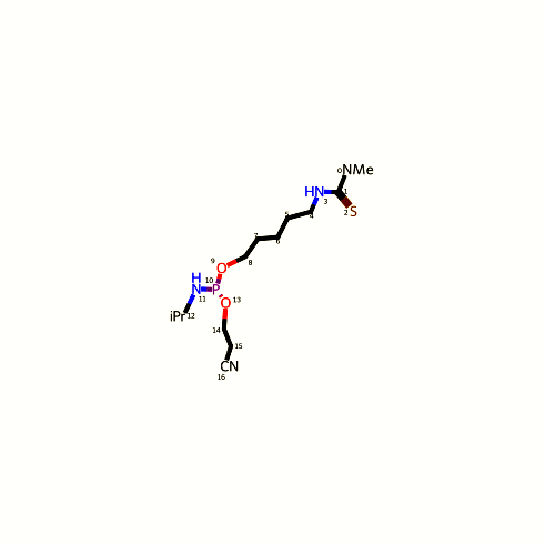 CNC(=S)NCCCCCOP(NC(C)C)OCCC#N